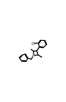 CC1C(c2ccccc2Cl)C(C)N1Cc1ccccc1